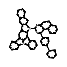 c1ccc(-c2ccc(-c3nc(-n4c5cc6ccccc6cc5c5cc6c7ccccc7n7c8ccccc8c(c54)c67)nc4ccc5ccccc5c34)cc2)cc1